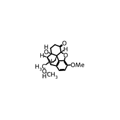 CO.COc1ccc2c3c1O[C@H]1C(=O)CC[C@@]4(O)[C@@H](C2)N(C)CC[C@]314